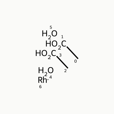 CC(=O)O.CC(=O)O.O.O.[Rh]